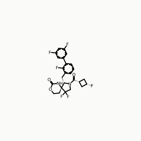 O=C1N[C@]2(CCO1)[C@H](Cc1cccc(-c3cc(F)cc(F)c3)c1F)N(C(=O)[C@H]1C[C@@H](F)C1)CC2(F)F